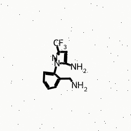 NCc1ccccc1-n1nc(C(F)(F)F)cc1N